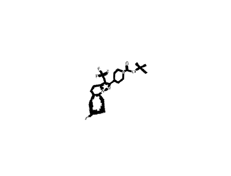 CC(C)(C)OC(=O)N1CCC(c2nn3c(c2C(F)(F)F)CCc2cc(F)ccc2-3)CC1